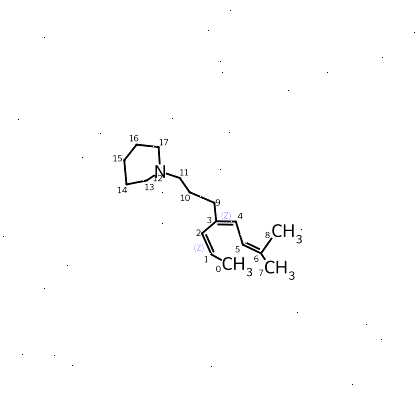 C/C=C\C(=C/C=C(C)C)CCCN1CCCCC1